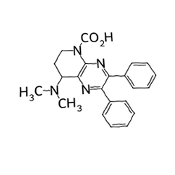 CN(C)C1CCN(C(=O)O)c2nc(-c3ccccc3)c(-c3ccccc3)nc21